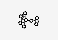 c1ccc2c(c1)Sc1ccccc1N2c1ccc(-c2cc3c4c(c2)-n2c5ccccc5c5cccc(c52)B4c2cccc4c5ccccc5n-3c24)cc1